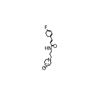 O=C(/C=C/C1=CC=C(F)CC1)NCCCN1CC[S+]([O-])CC1